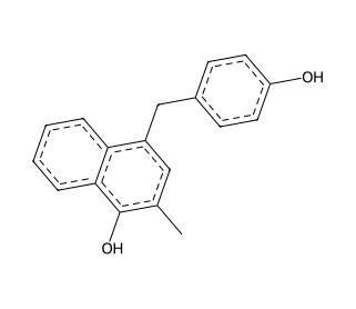 Cc1cc(Cc2ccc(O)cc2)c2ccccc2c1O